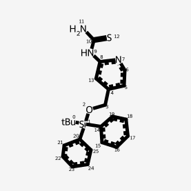 CC(C)(C)[Si](OCc1ccnc(NC(N)=S)c1)(c1ccccc1)c1ccccc1